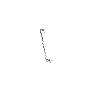 [CH2]CCCCCCCCCC/C=C/C/C=C/C